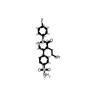 CC(C)CCc1c(-c2ccc(S(N)(=O)=O)cc2)cnn(-c2ccc(F)cc2)c1=O